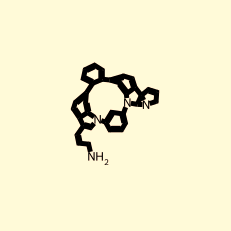 NC/C=C\c1cn2c3cccc(c3)n3c4cc(ccc4C45C=CCN4C35)c3ccccc3c3ccc1c2c3